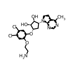 Cc1ncnc2c1ccn2[C@@H]1C[C@H](Oc2cc(Cl)c(Cl)cc2OCCN)[C@@H](O)[C@H]1O